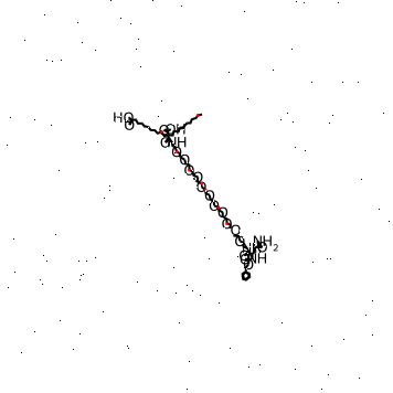 CCCCCCCCCCCC(CCCCCCCCCCC(=O)O)(C(=O)O)C(=O)NCCOCCOCCOCCOCCOCCOCCOCCOCCOCCOCCOCCNC(=O)C(CCC(N)=O)NC(=O)OCc1ccccc1